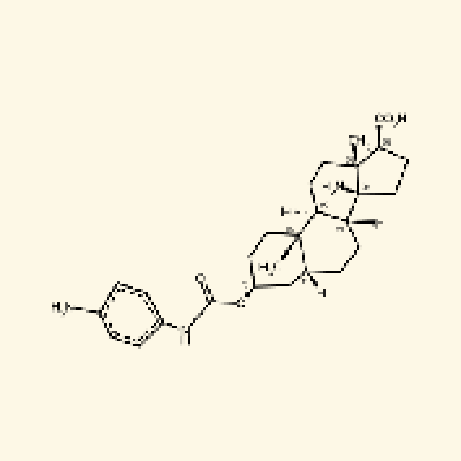 C[C@]12CC[C@H](OC(=O)Nc3ccc(N)cc3)C[C@H]1CC[C@@H]1[C@@H]2CC[C@]2(C)[C@@H](C(=O)O)CC[C@]12N